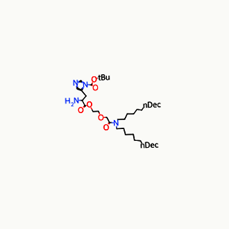 CCCCCCCCCCCCCCCCN(CCCCCCCCCCCCCCCC)C(=O)COCCOC(=O)C(N)Cc1cncn1C(=O)OC(C)(C)C